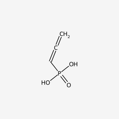 C=C=CP(=O)(O)O